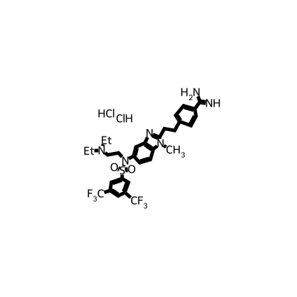 CCN(CC)CCN(c1ccc2c(c1)nc(CCc1ccc(C(=N)N)cc1)n2C)S(=O)(=O)c1cc(C(F)(F)F)cc(C(F)(F)F)c1.Cl.Cl